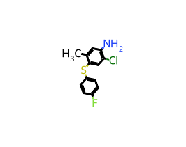 Cc1cc(N)c(Cl)cc1Sc1ccc(F)cc1